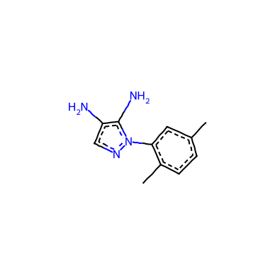 Cc1ccc(C)c(-n2ncc(N)c2N)c1